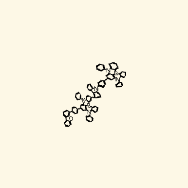 c1ccc(N2c3ccccc3B3c4ccccc4N(c4ccccc4)c4cc(-c5ccc(-n6c7ccccc7c7c(-c8ccc9c(c8)B8c%10ccccc%10N(c%10ccccc%10)c%10cc(-c%11ccc(-c%12cccc%13c%12oc%12ccccc%12%13)cc%11)cc(c%108)N9c8ccccc8)cccc76)cc5)cc2c43)cc1